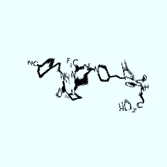 N#Cc1ccc(CCNC(=O)[C@@H]2CCN2c2cc(N3CCC(CCNS(=O)(=O)NCCC(=O)O)CC3)nc(C(F)(F)F)n2)cc1